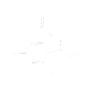 C=CN1C[N+]([O-])(C=C)c2c(Br)c(Br)c(Br)c(Br)c21